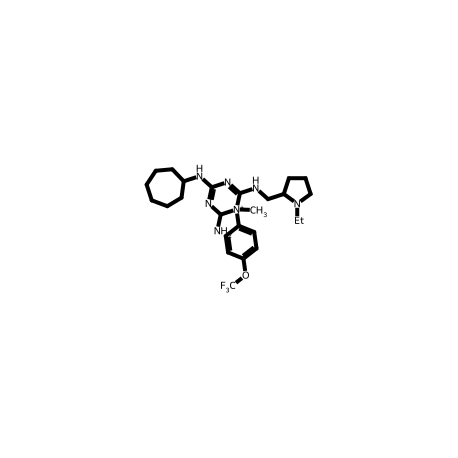 CCN1CCCC1CNC1=NC(NC2CCCCCC2)=NC(N)[N+]1(C)c1ccc(OC(F)(F)F)cc1